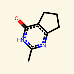 Cc1nc2c(c(=O)[nH]1)CCC2